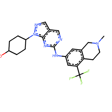 CN1CCc2c(cc(Nc3ncc4cnn(C5CCC(O)CC5)c4n3)cc2C(F)(F)F)C1